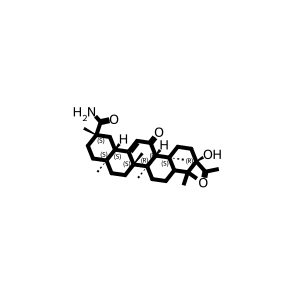 CC(=O)[C@@]1(O)CC[C@@]2(C)C(CC[C@]3(C)[C@@H]2C(=O)C=C2[C@H]4C[C@@](C)(C(N)=O)CC[C@]4(C)CC[C@]23C)C1(C)C